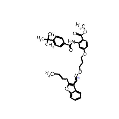 CCCCc1oc2ccccc2c1/C=N/OCCCOc1ccc(C(=O)OC)c(NC(=O)c2ccc(C(C)(C)C)cc2)c1